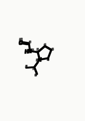 CC(C)N1CCCC1NC=O